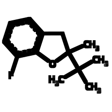 CC(C)(C)C1(C)Cc2cccc(F)c2O1